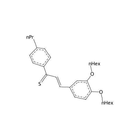 CCCCCCOc1ccc(C=CC(=S)c2ccc(CCC)cc2)cc1OCCCCCC